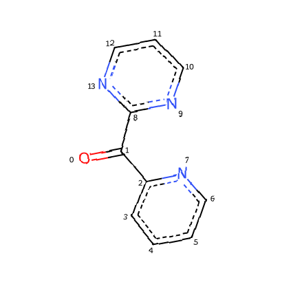 O=C(c1ccccn1)c1ncccn1